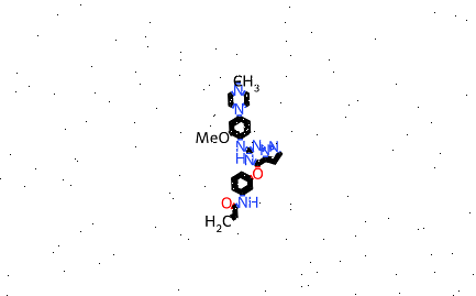 C=CC(=O)Nc1cccc(Oc2nc(Nc3ccc(N4CCN(C)CC4)cc3OC)nn3nccc23)c1